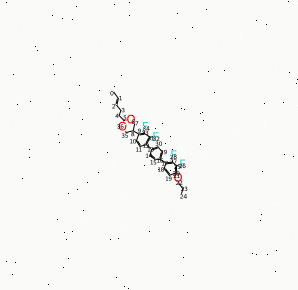 C/C=C/CCC1OCC(c2ccc(-c3ccc(-c4ccc(OCCC)c(F)c4F)cc3)c(F)c2F)CO1